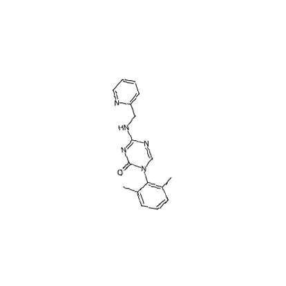 Cc1cccc(C)c1-n1cnc(NCc2ccccn2)nc1=O